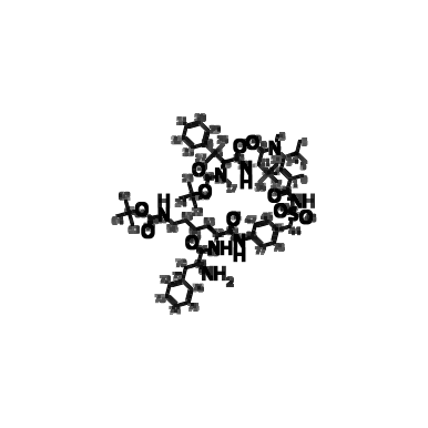 C/C(=C\[C@H](C(C)C)N(C)C(=O)[C@@H](NC(=O)[C@@H](N(C)C(=O)OC(C)(C)C)C(C)(C)c1ccccc1)C(C)(C)C)C(=O)NS(=O)(=O)Cc1ccc(NC(=O)[C@H](CCCCNC(=O)OC(C)(C)C)NC(=O)[C@@H](N)Cc2ccccc2)cc1